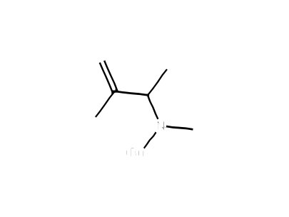 C=C(C)C(C)N(C)C(C)(C)C